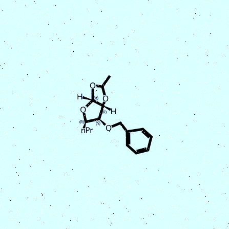 CCC[C@H]1O[C@@H]2OC(C)O[C@@H]2[C@H]1OCc1ccccc1